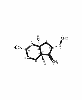 C=C1[C@@H](OC=O)C[C@@H]2O[C@@H](C)OC[C@@H]12